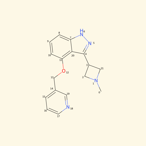 CN1CC(c2n[nH]c3cccc(OCc4cccnc4)c23)C1